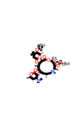 CC[C@H]1OC(=O)[C@H](C)[C@@H](OC2CC(C)(C)[C@@H](O[Si](C)(C)C(C)(C)C)[C@H](C)O2)[C@H](C)[C@@H](OC2O[C@H](C)C[C@H](N(C)C)[C@H]2C)[C@](C)(O)C[C@@H](C)CN(C)[C@H](C)[C@@H](O[Si](C)(C)C(C)(C)C)[C@]1(C)O